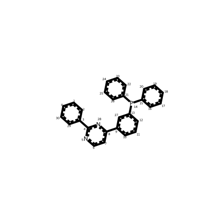 c1ccc(-c2nccc(-c3cccc(P(c4ccccc4)c4ccccc4)c3)n2)cc1